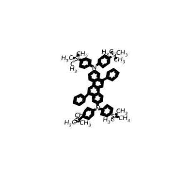 C[Si](C)(C)c1ccc(N(c2ccc([Si](C)(C)C)cc2)c2ccc3c(c2)c(-c2ccccc2)cc2c4ccc(N(c5ccc([Si](C)(C)C)cc5)c5ccc([Si](C)(C)C)cc5)cc4c(-c4ccccc4)cc32)cc1